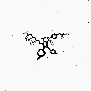 CC(C)n1c(CC[C@@H](O)C[C@@H](O)CC(=O)O)c(-c2ccc(F)cc2)c(-c2ccc(F)cc2)c1C(=O)Nc1ccc(CC(=O)O)cc1